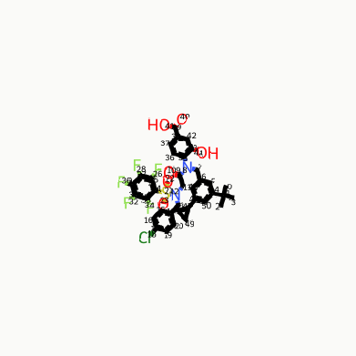 CC(C)(C)c1cc(CN(C(=O)CN(Cc2ccc(Cl)cc2)S(=O)(=O)c2c(F)c(F)c(F)c(F)c2F)c2ccc(C(=O)O)cc2O)cc(C2CC2)c1